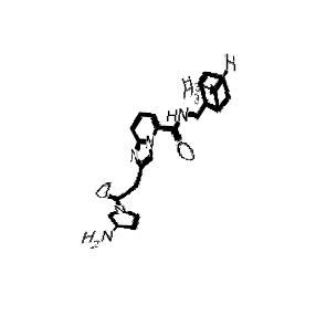 CC1(C)C2C[C@H]1CCC2CNC(=O)c1cccc2nc(CC(=O)N3CC[C@@H](N)C3)cn12